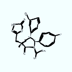 CCC(CC)N1C(=O)[C@](C)(Cc2n[nH]c(=O)o2)C[C@H](c2cccc(Cl)c2)[C@H]1c1ccc(Cl)cc1